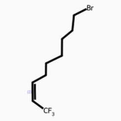 FC(F)(F)/C=C\CCCCCCBr